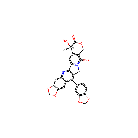 CC[C@@]1(O)C(=O)OCc2c1cc1n(c2=O)Cc2c-1nc1cc3c(cc1c2-c1ccc2c(c1)OCO2)OCO3